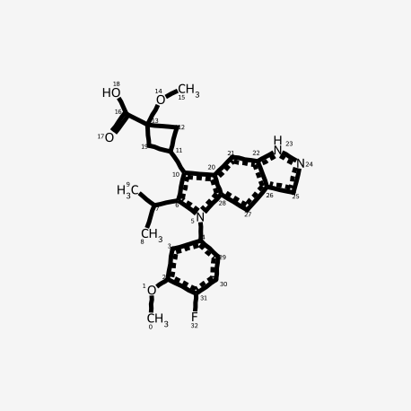 COc1cc(-n2c(C(C)C)c(C3CC(OC)(C(=O)O)C3)c3cc4[nH]ncc4cc32)ccc1F